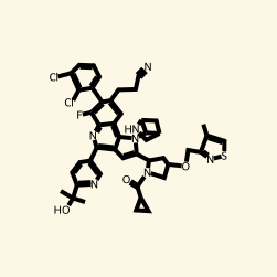 Cc1csnc1COC1CC(c2cc3c(-c4ccc(C(C)(C)O)nc4)nc4c(F)c(-c5cccc(Cl)c5Cl)c(CCC#N)cc4c3n2C2C3CNC2C3)N(C(=O)C2CC2)C1